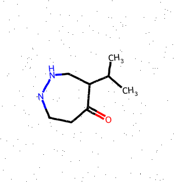 CC(C)C1CN[N]CCC1=O